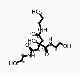 O=C(CC(O)(CC(=O)NCCO)C(=O)NCCO)NCCO